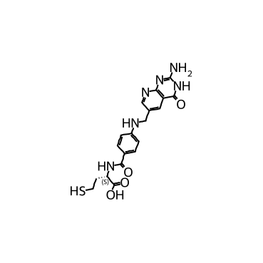 Nc1nc2ncc(CNc3ccc(C(=O)N[C@@H](CCS)C(=O)O)cc3)cc2c(=O)[nH]1